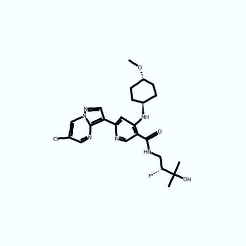 CO[C@H]1CC[C@H](Nc2cc(-c3cnn4cc(Cl)cnc34)ncc2C(=O)NC[C@@H](F)C(C)(C)O)CC1